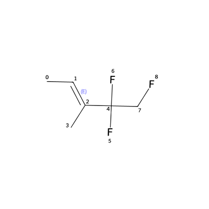 C/C=C(\C)C(F)(F)CF